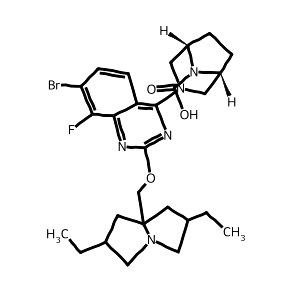 CCC1CN2CC(CC)CC2(COc2nc(N3C[C@H]4CC[C@@H](C3)N4C(=O)O)c3ccc(Br)c(F)c3n2)C1